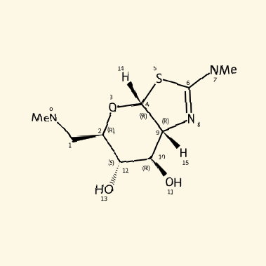 CNC[C@H]1O[C@@H]2SC(NC)=N[C@@H]2[C@@H](O)[C@@H]1O